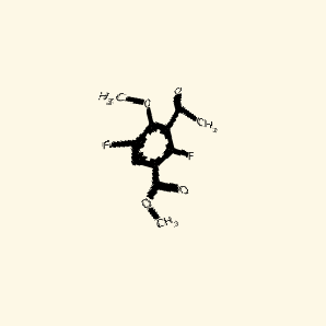 COC(=O)c1cc(F)c(OC)c(C(C)=O)c1F